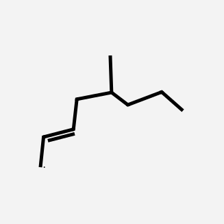 [CH2]C=CCC(C)CCC